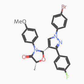 COc1ccc(N2C(=O)[C@@H](C)O[C@H]2c2cn(-c3ccc(Br)cc3)nc2-c2ccc(F)cc2)cc1